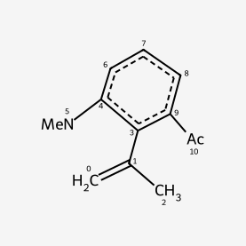 C=C(C)c1c(NC)cccc1C(C)=O